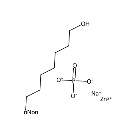 CCCCCCCCCCCCCCCCO.O=P([O-])([O-])[O-].[Na+].[Zn+2]